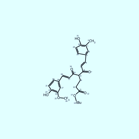 Cc1cc(/C=C/C(=O)C(CCC(=O)OC(C)(C)C)C(=O)/C=C/c2ccc(O)c(OC(F)(F)F)c2)ccc1O